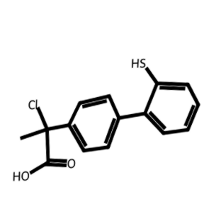 CC(Cl)(C(=O)O)c1ccc(-c2ccccc2S)cc1